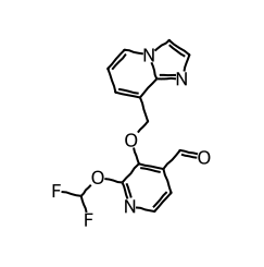 O=Cc1ccnc(OC(F)F)c1OCc1cccn2ccnc12